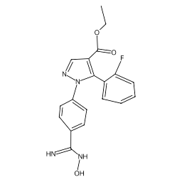 CCOC(=O)c1cnn(-c2ccc(C(=N)NO)cc2)c1-c1ccccc1F